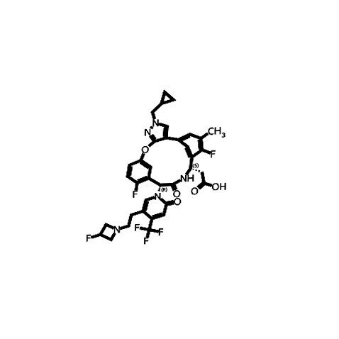 Cc1cc2cc(c1F)[C@H](CC(=O)O)NC(=O)[C@H](n1cc(CCN3CC(F)C3)c(C(F)(F)F)cc1=O)c1cc(ccc1F)Oc1nn(CC3CC3)cc1-2